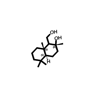 CC1(C)CCC[C@]2(C)C(CO)[C@](C)(O)CC[C@@H]12